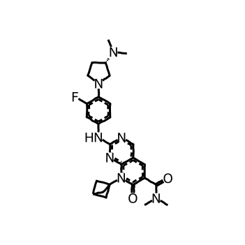 CN(C)C(=O)c1cc2cnc(Nc3ccc(N4CC[C@H](N(C)C)C4)c(F)c3)nc2n(C23CC(C2)C3)c1=O